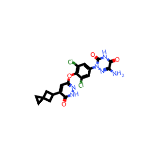 Nc1nn(-c2cc(Cl)c(Oc3cc(C4CC5(CC5)C4)c(=O)[nH]n3)c(Cl)c2)c(=O)[nH]c1=O